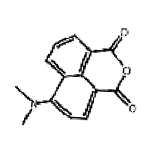 CN(C)c1ccc2c3c(cccc13)C(=O)OC2=O